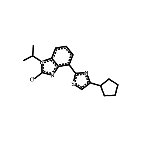 CC(C)n1c(Cl)nc2c(-c3nc(C4CCCC4)cs3)cccc21